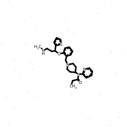 CCC(=O)N(c1ccccn1)C1CCN(Cc2ccccc2OC(CCNC)c2cccs2)CC1